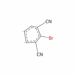 N#Cc1[c][c]cc(C#N)c1Br